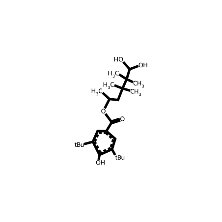 CC(CC(C)(C)C(C)(C)C(O)O)OC(=O)c1cc(C(C)(C)C)c(O)c(C(C)(C)C)c1